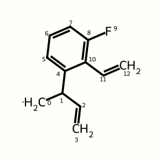 [CH2]C(C=C)c1cccc(F)c1C=C